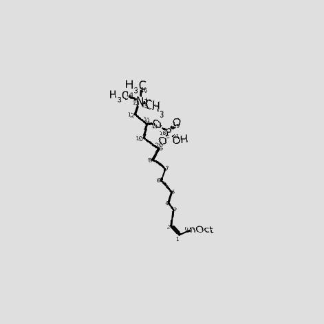 CCCCCCCC/C=C\CCCCCCCCC(C[N+](C)(C)C)OP(=O)([O-])O